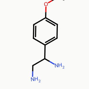 NCC(N)c1ccc(OC(F)(F)F)cc1